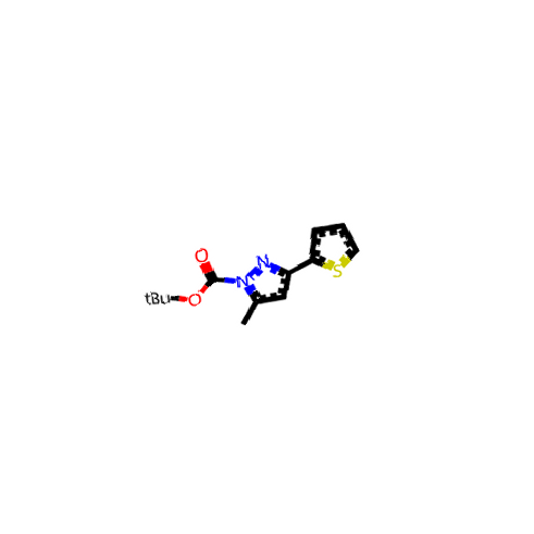 Cc1cc(-c2cccs2)nn1C(=O)OC(C)(C)C